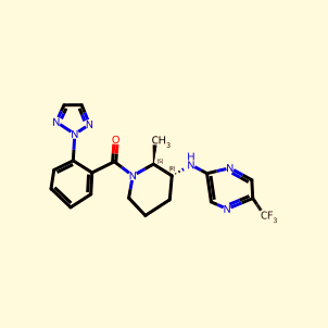 C[C@H]1[C@H](Nc2cnc(C(F)(F)F)cn2)CCCN1C(=O)c1ccccc1-n1nccn1